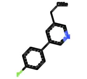 COCc1cncc(-c2ccc(F)cc2)c1